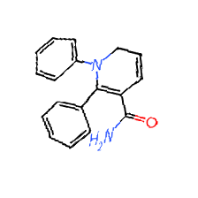 NC(=O)C1=C(c2ccccc2)N(c2ccccc2)CC=C1